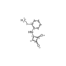 CCc1ccccc1Nc1cc(=O)c1=O